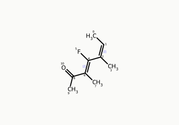 C/C=C(C)\C(F)=C(/C)C(C)=O